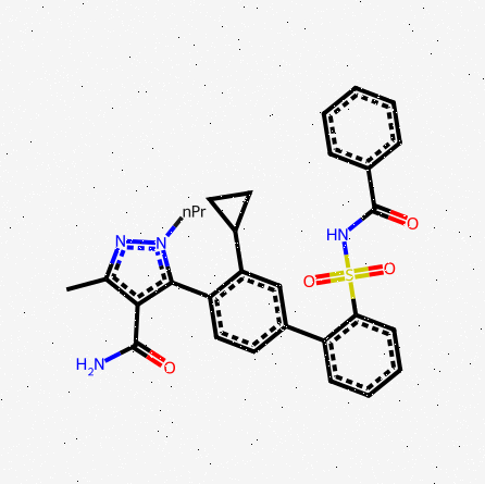 CCCn1nc(C)c(C(N)=O)c1-c1ccc(-c2ccccc2S(=O)(=O)NC(=O)c2ccccc2)cc1C1CC1